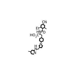 CCc1cc(C#N)cc(C)c1C(=O)NC(Cc1ccc(-n2ccc(CNc3cc(C)ccn3)c2)cc1)C(=O)O